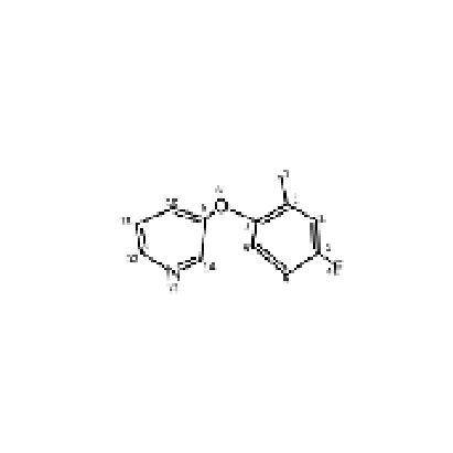 Cc1cc(F)ccc1Oc1cccnc1